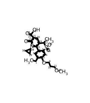 CCc1cc2c(cc1OCCCOC)S(=O)(=O)C(C)c1cc(C(=O)O)c(=O)n(C3CC3)c1-2